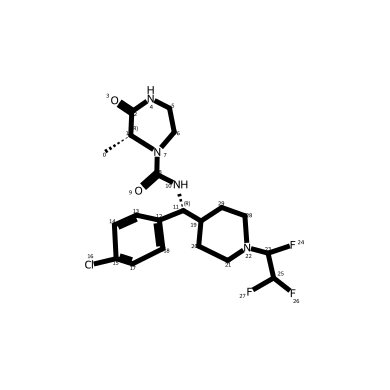 C[C@@H]1C(=O)NCCN1C(=O)N[C@@H](c1ccc(Cl)cc1)C1CCN(C(F)C(F)F)CC1